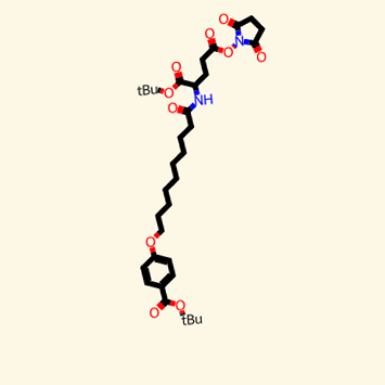 CC(C)(C)OC(=O)c1ccc(OCCCCCCCCCC(=O)NC(CCC(=O)ON2C(=O)CCC2=O)C(=O)OC(C)(C)C)cc1